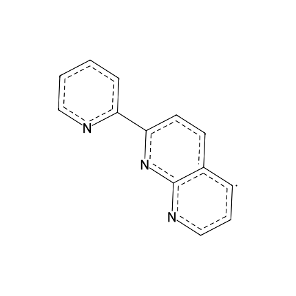 [c]1ccnc2nc(-c3ccccn3)ccc12